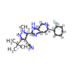 Cn1nc(C(C)(C)C)c(C#N)c1-c1nc2cc(-c3ccccc3F)ncc2[nH]1